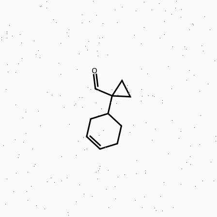 O=CC1(C2CC=CCC2)CC1